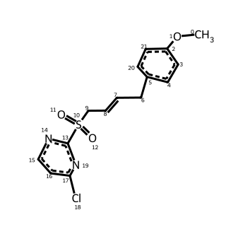 COc1ccc(CC=CCS(=O)(=O)c2nccc(Cl)n2)cc1